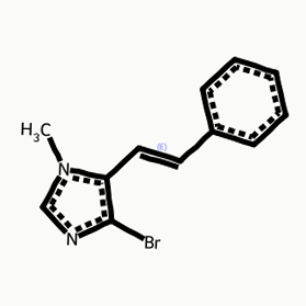 Cn1cnc(Br)c1/C=C/c1ccccc1